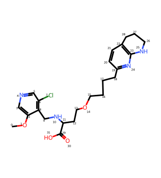 COc1cncc(Cl)c1CNC(CCOCCCCc1ccc2c(n1)NCCC2)C(=O)O